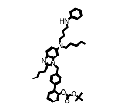 CCCCCN(CCCCNc1ccccc1)c1ccc2nc(CCCC)n(Cc3ccc(-c4ccccc4OC(=O)OC(C)(C)C)cc3)c2c1